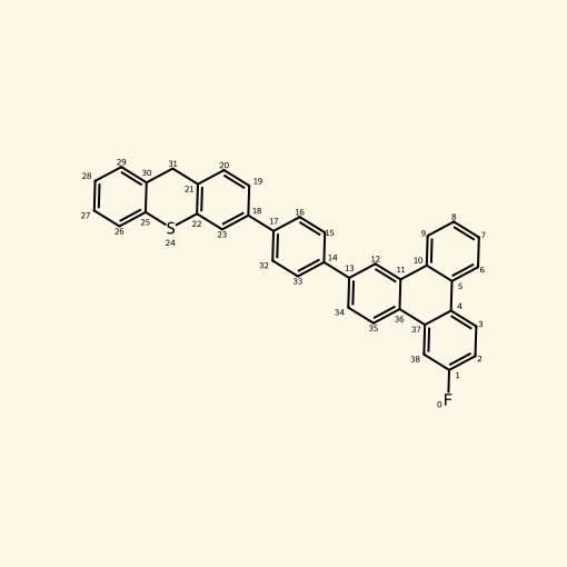 Fc1ccc2c3ccccc3c3cc(-c4ccc(-c5ccc6c(c5)Sc5ccccc5C6)cc4)ccc3c2c1